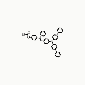 CCC(=O)Oc1ccc(C(=Cc2ccc(N(c3ccc(-c4ccccc4)cc3)c3ccc(-c4ccccc4)cc3)cc2)c2ccccc2)cc1